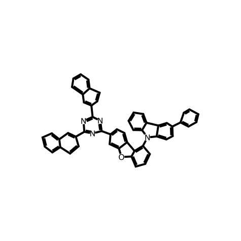 c1ccc(-c2ccc3c(c2)c2ccccc2n3-c2cccc3oc4cc(-c5nc(-c6ccc7ccccc7c6)nc(-c6ccc7ccccc7c6)n5)ccc4c23)cc1